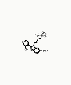 COc1ccc2nc(-c3ccncc3C#N)n(COCC[Si](C)(C)C)c2c1